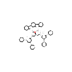 C1=CC(n2c3ccccc3c3ccc4c5ccccc5n(-c5cccc(-c6cc(-c7ccccc7)cc(-c7ccccc7)n6)n5)c4c32)NC(c2cc(-c3ccccc3)cc(-c3ccccc3)n2)=C1